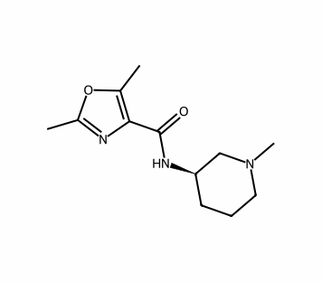 Cc1nc(C(=O)N[C@@H]2CCCN(C)C2)c(C)o1